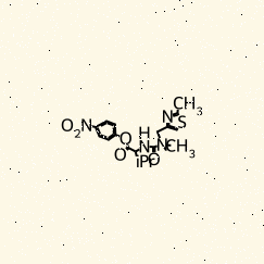 Cc1nc(CN(C)C(=O)NC(C(=O)Oc2ccc([N+](=O)[O-])cc2)C(C)C)cs1